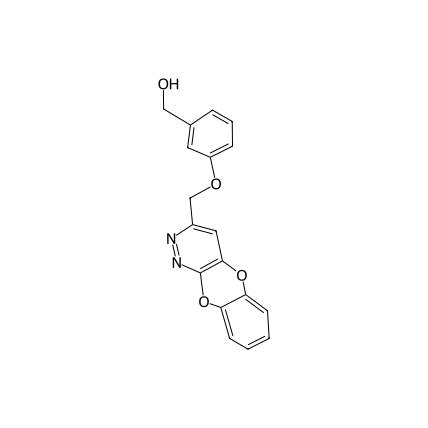 OCc1cccc(OCc2cc3c(nn2)Oc2ccccc2O3)c1